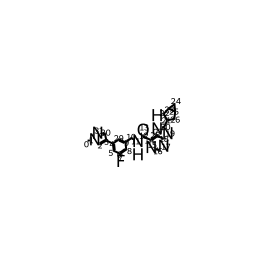 Cn1cc(-c2cc(F)cc(CNC(=O)c3ncnc4nc(C5CC6CC6C5)[nH]c34)c2)cn1